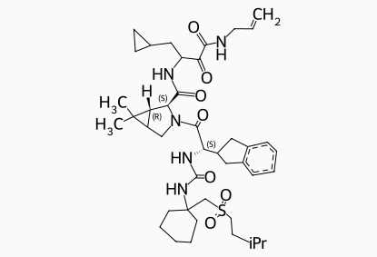 C=CCNC(=O)C(=O)C(CC1CC1)NC(=O)[C@@H]1[C@@H]2C(CN1C(=O)[C@@H](NC(=O)NC1(CS(=O)(=O)CCC(C)C)CCCCC1)C1Cc3ccccc3C1)C2(C)C